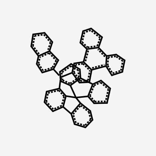 c1ccc2c(c1)-c1ccccc1C21c2ccccc2-c2cccc(N(c3ccc4ccccc4c3)c3ccc4c5ccccc5c5ccccc5c4c3)c21